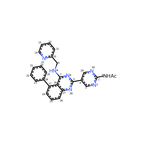 CC(=O)Nc1ncc(-c2nc(NCc3ccccn3)c3c(-c4ccccc4)cccc3n2)cn1